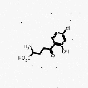 NC(CCC(=O)c1ccc(Cl)cc1O)C(=O)O